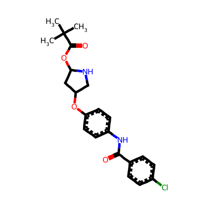 CC(C)(C)C(=O)OC1CC(Oc2ccc(NC(=O)c3ccc(Cl)cc3)cc2)CN1